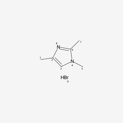 Br.Cc1cn(C)c(C)n1